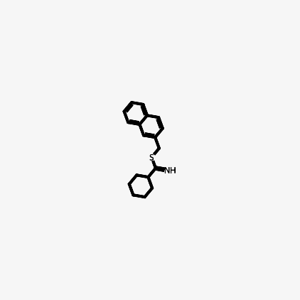 N=C(SCc1ccc2ccccc2c1)C1CCCCC1